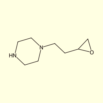 C1CN(CCC2CO2)CCN1